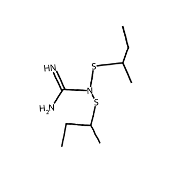 CCC(C)SN(SC(C)CC)C(=N)N